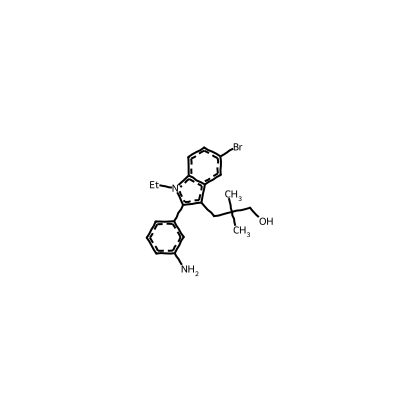 CCn1c(-c2cccc(N)c2)c(CC(C)(C)CO)c2cc(Br)ccc21